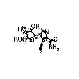 C#Cc1c(C(N)=O)ncn1[C@@H]1O[C@H](CO)[C@H](O)C1O